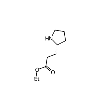 CCOC(=O)CC[C@H]1CCCN1